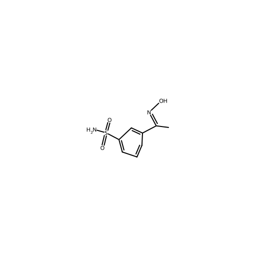 CC(=NO)c1cccc(S(N)(=O)=O)c1